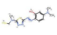 CN(C)c1ccc(/N=N/c2nnc(N(C)CS)s2)c(O)c1